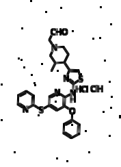 CC1CN(CC=O)CCC1c1csc(Nc2ncc(Sc3ccccn3)cc2Oc2ccccc2)n1.Cl.Cl